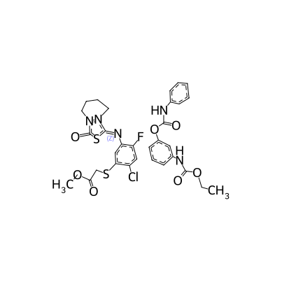 CCOC(=O)Nc1cccc(OC(=O)Nc2ccccc2)c1.COC(=O)CSc1cc(/N=c2\sc(=O)n3n2CCCC3)c(F)cc1Cl